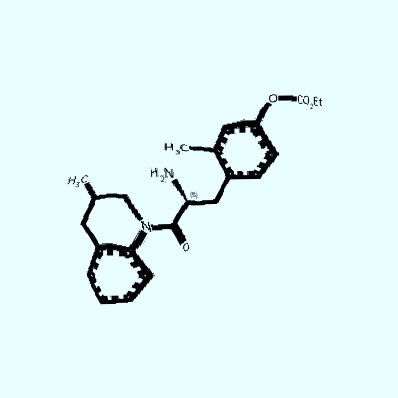 CCOC(=O)Oc1ccc(C[C@H](N)C(=O)N2CC(C)Cc3ccccc32)c(C)c1